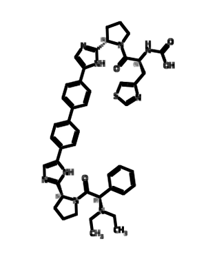 CCN(CC)[C@@H](C(=O)N1CCC[C@H]1c1ncc(-c2ccc(-c3ccc(-c4cnc([C@@H]5CCCN5C(=O)[C@H](Cc5cscn5)NC(=O)O)[nH]4)cc3)cc2)[nH]1)c1ccccc1